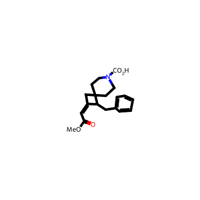 COC(=O)/C=C1/CC2(CCN(C(=O)O)CC2)C1Cc1ccccc1